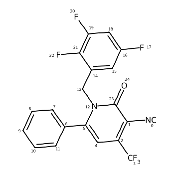 [C-]#[N+]c1c(C(F)(F)F)cc(-c2ccccc2)n(Cc2cc(F)cc(F)c2F)c1=O